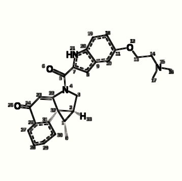 C[C@H]1[C@@H]2CN(C(=O)c3cc4cc(OCCN(C)C)ccc4[nH]3)C3=CC(=O)c4ccccc4[C@@]312